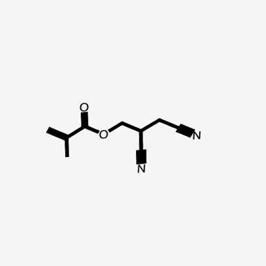 C=C(C)C(=O)OCC(C#N)CC#N